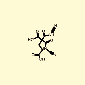 N#CNC(=O)C(CCC(=O)O)(C(=O)O)C(=O)NC#N